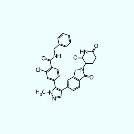 Cn1ncc(-c2ccc3c(c2)CN(C2CCC(=O)NC2=O)C3=O)c1-c1ccc(C(=O)NCc2ccccc2)c(Cl)c1